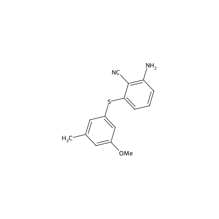 COc1cc(C)cc(Sc2cccc(N)c2C#N)c1